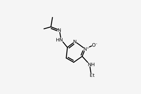 CCNc1ccc(NN=C(C)C)n[n+]1[O-]